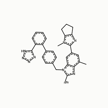 CCCc1nc2c(C)cc(-c3nc4c(n3C)CCC4)cc2n1Cc1ccc(-c2ccccc2-c2nnn[nH]2)cc1